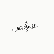 Cc1cn2nc(-c3cc(=O)n4cc(N5CCN[C@H](C)C5)cc(C)c4n3)ccc2n1